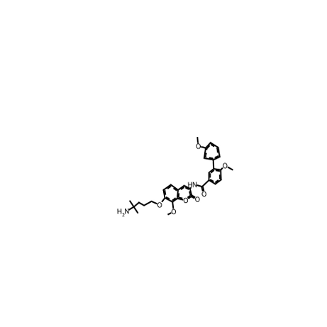 COc1cccc(-c2cc(C(=O)Nc3cc4ccc(OCCCC(C)(C)N)c(OC)c4oc3=O)ccc2OC)c1